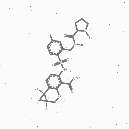 CCN1CCCC1C(=O)N(C)Cc1cc(F)ccc1S(=O)(=O)Nc1ccc2c(c1C(=O)OC)OC[C@@H]1C[C@H]21